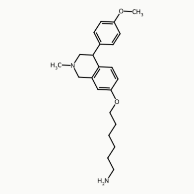 COc1ccc(C2CN(C)Cc3cc(OCCCCCCN)ccc32)cc1